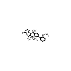 COc1ccccc1-c1ccc2c(c1)C(C)(C)C1=C(c3cccc(F)c3OC1)N2O